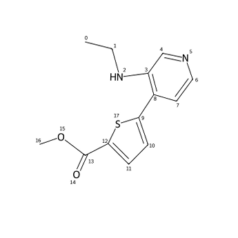 CCNc1cnccc1-c1ccc(C(=O)OC)s1